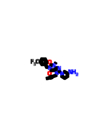 CC#CCn1c(N2CCCC(N)C2)nc2c1c(=O)n(Cc1cccc(C(F)(F)F)c1)c(=O)n2C